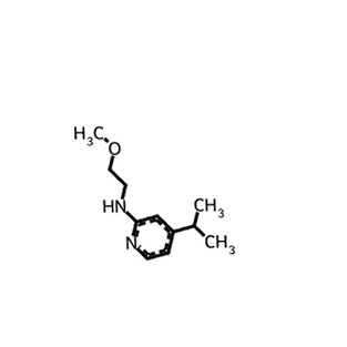 COCCNc1cc(C(C)C)ccn1